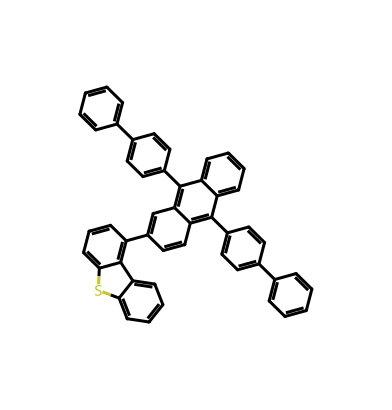 c1ccc(-c2ccc(-c3c4ccccc4c(-c4ccc(-c5ccccc5)cc4)c4cc(-c5cccc6sc7ccccc7c56)ccc34)cc2)cc1